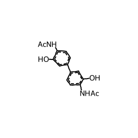 CC(=O)Nc1ccc(-c2ccc(NC(C)=O)c(O)c2)cc1O